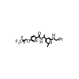 Cc1cc(C(C)NC(=O)c2ccc(OCC(F)(F)C(F)(F)F)cn2)cc(NCC(C)C)n1